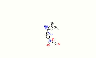 CC1(C)CCc2c(-c3cc4ccc(N(CCO)C(=O)CC5CCOCC5)cc4[nH]3)n[nH]c2C1